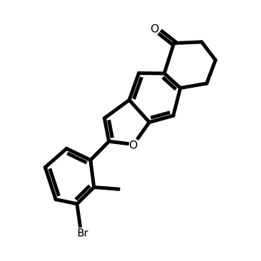 Cc1c(Br)cccc1-c1cc2cc3c(cc2o1)CCCC3=O